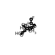 C=CC(=O)Nc1cc(Nc2cc(N3OCCC3c3cccc(-c4cccc(F)c4)c3)ncn2)c(OC)cc1N1CC2(CN(C(=O)O)C2)C1